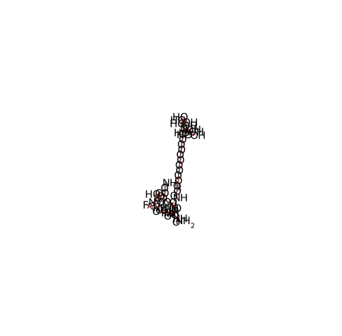 CC[C@@]1(O)C(=O)OCc2c1cc1n(c2=O)Cc2c-1nc1cc(F)c(C)c3c1c2[C@@H](NC(=O)OCc1ccc(NC(=O)[C@H](CCCNC(N)=O)NC(=O)[C@@H](NC(=O)[C@H](CCCCNC(=O)CCOCCOCCOCCOCCOCCOCCOCCOCCOCCOCCOCCOCCN(C[C@H](O)[C@@H](O)[C@H](O)[C@H](O)CO)C[C@H](O)[C@@H](O)[C@H](O)[C@H](O)CO)NC(=O)CCOCCOCCOCCOCCN)C(C)C)cc1)CC3